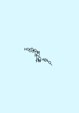 C=C(C)[C@@H]1CC[C@]2(CCN3CCN(CCOCCC)CC3)CC[C@]3(C)[C@H](CC[C@@H]4[C@@]5(C)CC[C@H](OC(=O)CC(C)(C)CC(=O)O)C(C)(C)[C@@H]5CC[C@]43C)[C@@H]12